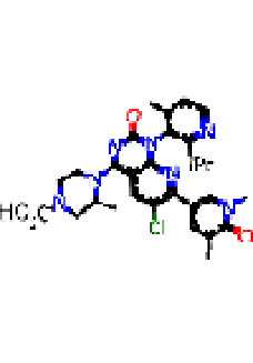 Cc1ccnc(C(C)C)c1-n1c(=O)nc(N2CCN(C(=O)O)C[C@@H]2C)c2cc(Cl)c(-c3cc(C)c(=O)n(C)c3)nc21